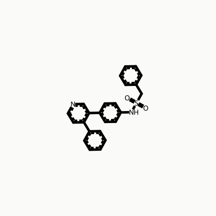 O=S(=O)(Cc1ccccc1)Nc1ccc(-c2cnccc2-c2ccccc2)cc1